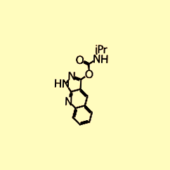 CC(C)NC(=O)Oc1n[nH]c2nc3ccccc3cc12